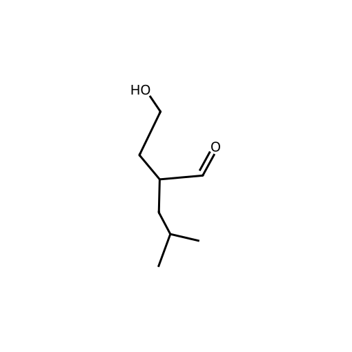 CC(C)CC(C=O)CCO